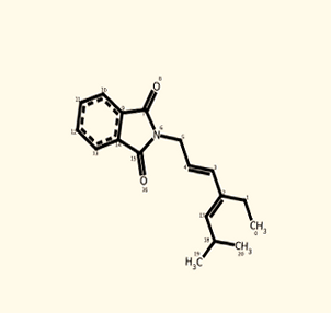 CCC(C=CCN1C(=O)c2ccccc2C1=O)=CC(C)C